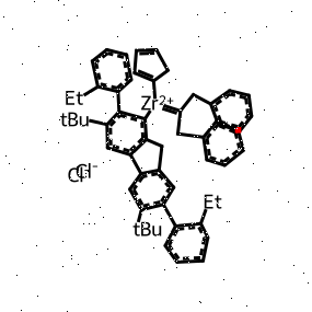 CCc1ccccc1-c1cc2c(cc1C(C)(C)C)-c1cc(C(C)(C)C)c(-c3ccccc3CC)[c]([Zr+2]([C]3=CC=CC3)=[C](Cc3ccccc3)Cc3ccccc3)c1C2.[Cl-].[Cl-]